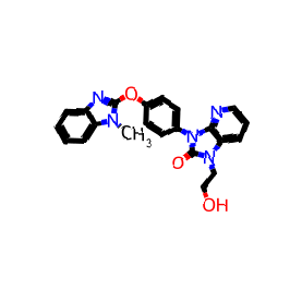 Cn1c(Oc2ccc(-n3c(=O)n(CCO)c4cccnc43)cc2)nc2ccccc21